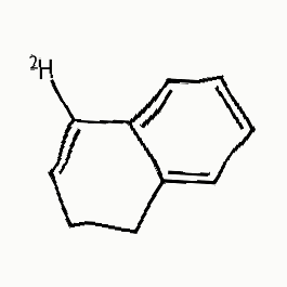 [2H]C1=CCCc2ccccc21